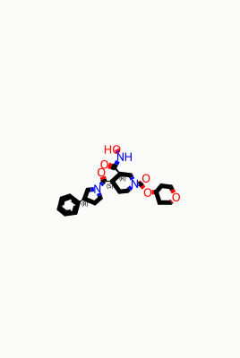 O=C(NO)[C@H]1CN(C(=O)OC2CCOCC2)CC[C@@H]1C(=O)N1CC[C@H](c2ccccc2)C1